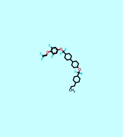 CCCC1CCC(C(F)(F)OC2CCC(C3CCC(C(F)(F)Oc4cc(F)c(OC=C(F)F)c(F)c4)CC3)CC2)CC1